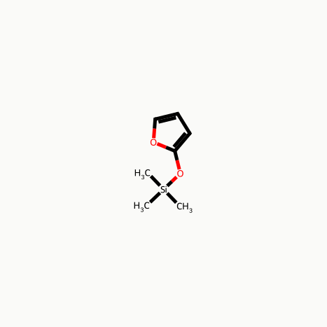 C[Si](C)(C)Oc1ccco1